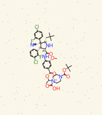 COc1cc(C(=O)OC(C)[N+]2(C(=O)O)CCN(C(=O)OC(C)(C)C)CC2)ccc1NC(=O)[C@@H]1N[C@@H](CC(C)(C)C)[C@](C#N)(c2ccc(Cl)cc2F)[C@H]1c1cccc(Cl)c1F